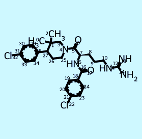 CC1(C)CN(C(=O)[C@@H](CCCNC(=N)N)NC(=O)c2ccc(Cl)cc2)CCC1c1ccc(Cl)cc1